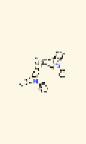 C1=CC2c3cc4c5cccc6c7cc8c9ccccc9n(-c9ccccc9)c8cc7n(c4cc3N(c3ccccc3)C2C=C1)c56